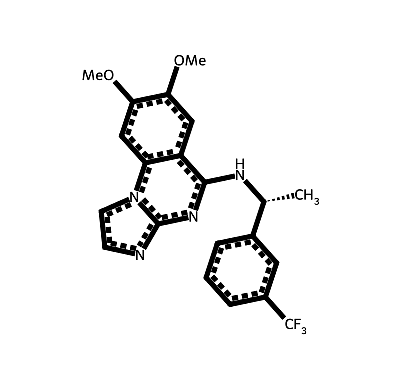 COc1cc2c(N[C@H](C)c3cccc(C(F)(F)F)c3)nc3nccn3c2cc1OC